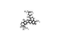 CC[C@@]1(O)C(=O)OCc2c1cc1n(c2=O)Cc2c-1nc1cc(F)c(C)c3c1c2[C@@H](NC(=O)C[C@H](C)N)CC3